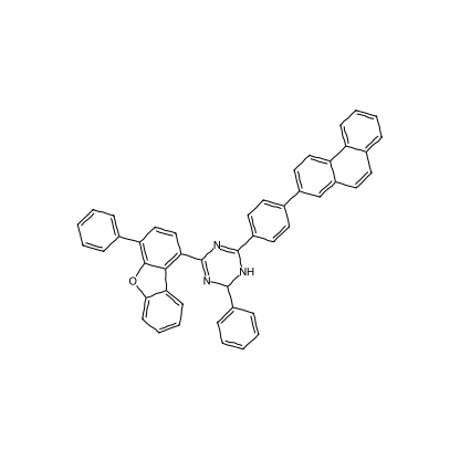 c1ccc(-c2ccc(C3=NC(c4ccccc4)NC(c4ccc(-c5ccc6c(ccc7ccccc76)c5)cc4)=N3)c3c2oc2ccccc23)cc1